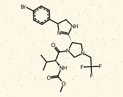 COC(=O)N[C@H](C(=O)N1CN(CC(F)(F)F)C[C@H]1C1=NC(c2ccc(Br)cc2)CN1)C(C)C